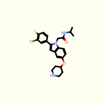 CC(C)NC(=O)Cn1c(-c2ccc(F)c(Cl)c2)cc2cc(OC3CCNCC3)ccc21